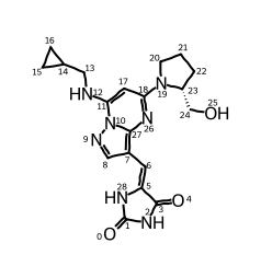 O=C1NC(=O)/C(=C/c2cnn3c(NCC4CC4)cc(N4CCC[C@@H]4CO)nc23)N1